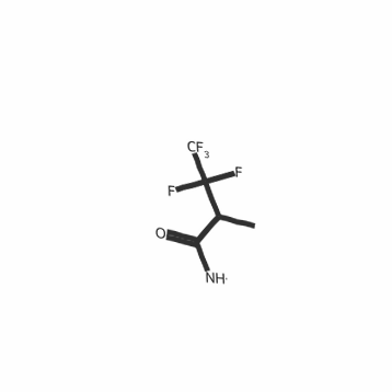 CC(C([NH])=O)C(F)(F)C(F)(F)F